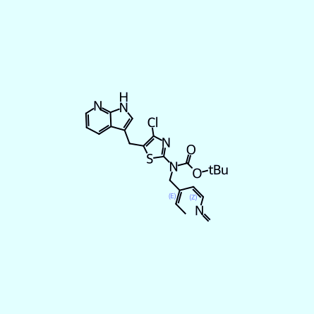 C=N/C=C\C(=C/C)CN(C(=O)OC(C)(C)C)c1nc(Cl)c(Cc2c[nH]c3ncccc23)s1